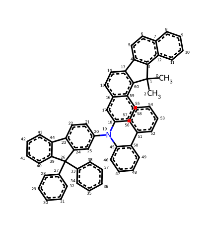 CC1(C)c2c(ccc3ccccc23)-c2ccc3cc(N(c4ccc5c(c4)C(c4ccccc4)(c4ccccc4)c4ccccc4-5)c4ccccc4-c4ccccc4)ccc3c21